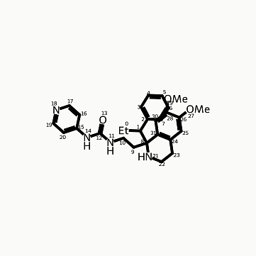 CCC(c1ccccc1)C1(CCNC(=O)Nc2ccncc2)NCCc2cc(OC)c(OC)cc21